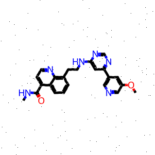 CNC(=O)c1ccnc2c(CCNc3cc(-c4cncc(OC)c4)ncn3)cccc12